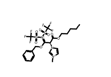 CCCCCOC(=O)[C@H](C(OCc1ccccc1)=[N+](S(=O)(=O)C(F)(F)F)S(=O)(=O)C(F)(F)F)n1cc[n+](C)c1